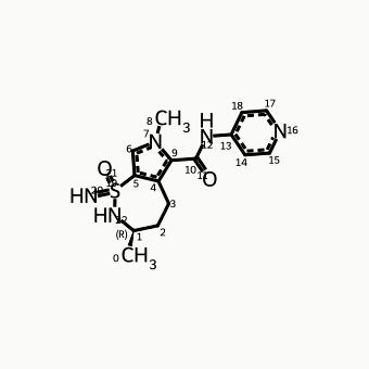 C[C@@H]1CCc2c(cn(C)c2C(=O)Nc2ccncc2)S(=N)(=O)N1